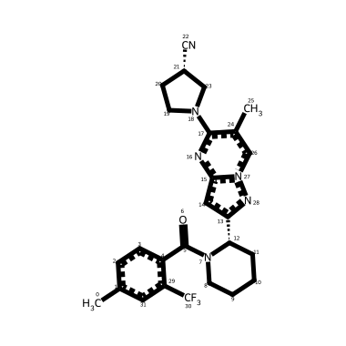 Cc1ccc(C(=O)N2CCCC[C@H]2c2cc3nc(N4CC[C@H](C#N)C4)c(C)cn3n2)c(C(F)(F)F)c1